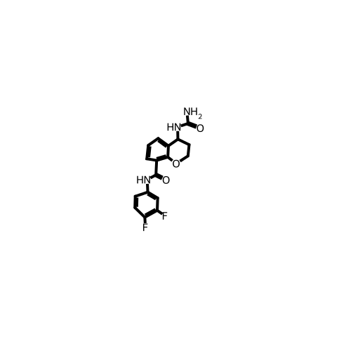 NC(=O)NC1CCOc2c(C(=O)Nc3ccc(F)c(F)c3)cccc21